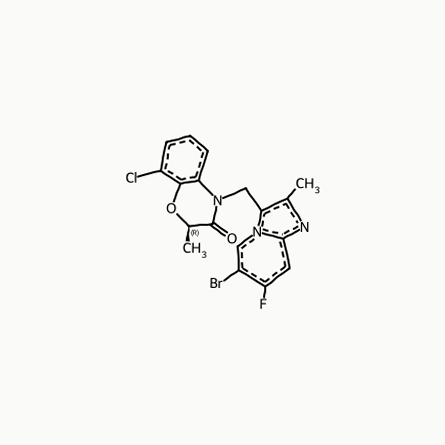 Cc1nc2cc(F)c(Br)cn2c1CN1C(=O)[C@@H](C)Oc2c(Cl)cccc21